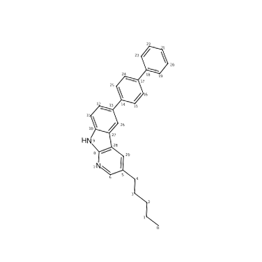 CCCCCc1cnc2[nH]c3ccc(-c4ccc(-c5ccccc5)cc4)cc3c2c1